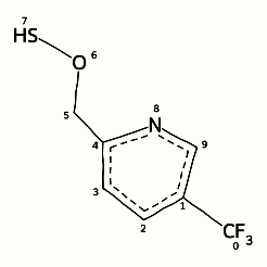 FC(F)(F)c1ccc(COS)nc1